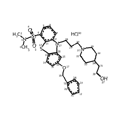 CN(C)S(=O)(=O)c1cccc2c1Sc1ccc(OCc3ccccc3)cc1N2CCCN1CCC(CCO)CC1.Cl